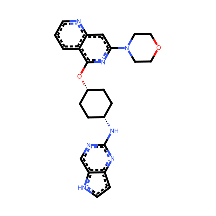 c1cnc2cc(N3CCOCC3)nc(O[C@H]3CC[C@@H](Nc4ncc5[nH]ccc5n4)CC3)c2c1